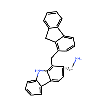 NC(=O)O.c1ccc2c(c1)Cc1c(Cc3cccc4c3[nH]c3ccccc34)cccc1-2